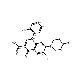 CN1CCN(c2cc3c(cc2F)c(=O)c(C(=O)O)cn3-c2ccncc2F)CC1